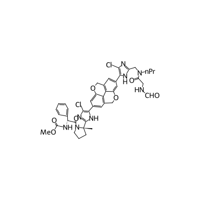 CCCN(Cc1nc(Cl)c(-c2cc3c4c(c2)OCc2cc(-c5[nH]c([C@]6(C)CCCN6C(=O)[C@H](NC(=O)OC)c6ccccc6)nc5Cl)cc(c2-4)OC3)[nH]1)C(=O)CNC=O